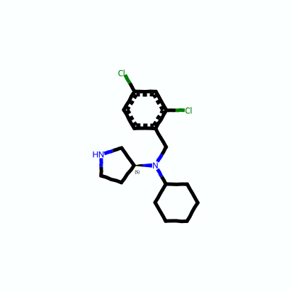 Clc1ccc(CN(C2CCCCC2)[C@H]2CCNC2)c(Cl)c1